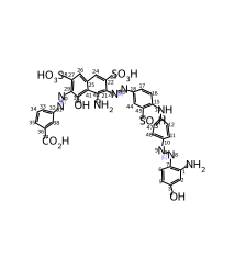 Nc1cc(O)ccc1/N=N/c1ccc(Nc2ccc(/N=N/c3c(S(=O)(=O)O)cc4cc(S(=O)(=O)O)c(/N=N/c5cccc(C(=O)O)c5)c(O)c4c3N)cc2S(=O)(=O)O)cc1